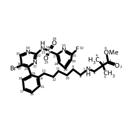 COC(=O)C(C)(C)CNCCCCCCc1ccccc1-c1nc(NS(=O)(=O)c2cccc(F)n2)ncc1Br